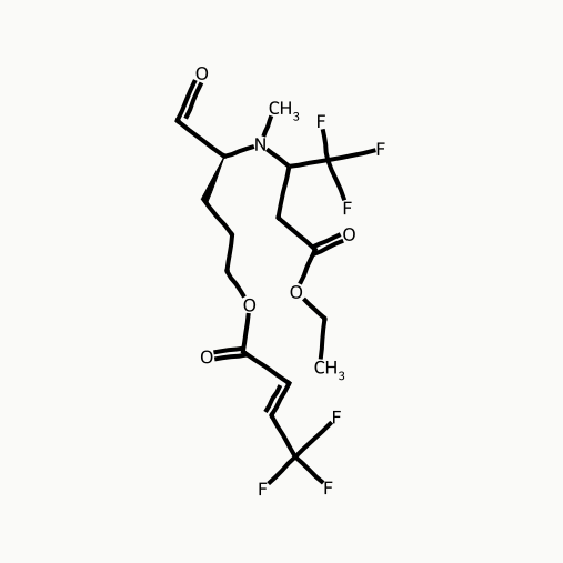 CCOC(=O)CC(N(C)[C@H](C=O)CCCOC(=O)/C=C/C(F)(F)F)C(F)(F)F